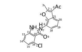 CC(=O)c1c(C)oc2c(NC(=O)c3c(N)cccc3Cl)cccc12